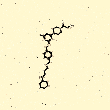 Cc1cc(N2CCN(C(=O)CO)CC2)nc(NCc2ccc(CNCCCNC3CCCCC3)cc2)n1